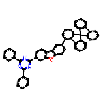 c1ccc(-c2nc(-c3ccccc3)nc(-c3ccc4c(c3)oc3ccc(-c5cccc6c5-c5ccccc5C65c6ccccc6-c6ccccc65)cc34)n2)cc1